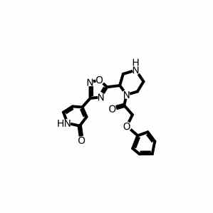 O=C(COc1ccccc1)N1CCNCC1c1nc(-c2cc[nH]c(=O)c2)no1